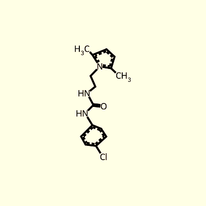 Cc1ccc(C)n1CCNC(=O)Nc1ccc(Cl)cc1